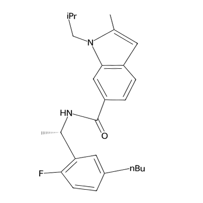 CCCCc1ccc(F)c([C@H](C)NC(=O)c2ccc3cc(C)n(CC(C)C)c3c2)c1